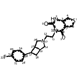 O=c1[nH]c2cscc2c(=O)n1CCN1CC2CC(c3ccc(F)cc3)C2C1